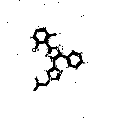 CC(C)Cn1cnc(-c2nc(-c3c(F)cccc3Cl)[nH]c2-c2ccccc2)c1